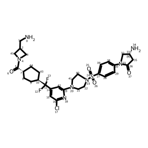 NCC1CN(C(=O)[C@H]2CC[C@H](C(F)(F)c3cc(Cl)nc(N4CCN(S(=O)(=O)c5ccc(N6C[C@H](N)CC6=O)cc5)CC4)c3)CC2)C1